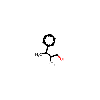 [CH2]C(c1ccccc1)C(C)CO